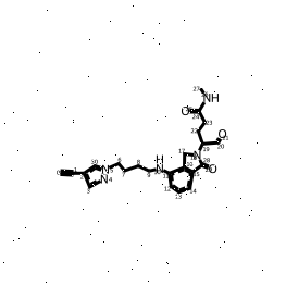 C#Cc1cnn(CCCCNc2cccc3c2CN(C(C=O)CCC(=O)NC)C3=O)c1